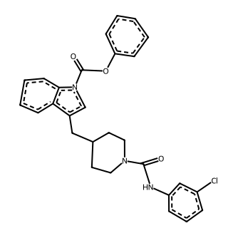 O=C(Nc1cccc(Cl)c1)N1CCC(Cc2cn(C(=O)Oc3ccccc3)c3ccccc23)CC1